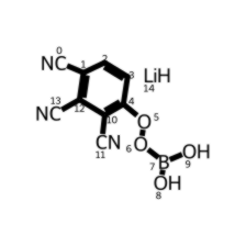 N#Cc1ccc(OOB(O)O)c(C#N)c1C#N.[LiH]